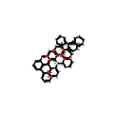 c1ccc(-c2cccc3cccc(-c4ccccc4N(c4ccccc4-c4cccc5sc6ccccc6c45)c4ccccc4-c4cccc5c4c4ccccc4n5-c4ccccc4)c23)cc1